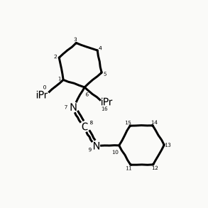 CC(C)C1CCCCC1(N=C=NC1CCCCC1)C(C)C